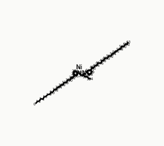 CCCCCCCCCCCCCCCCCCCCCC=Cc1cccc(N=CC(CCCC)=Nc2cccc(C=CCCCCCCCCCCCCCCCCCCCCC)c2)c1.[Ni]